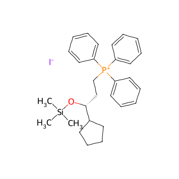 C[Si](C)(C)O[C@H](CC[P+](c1ccccc1)(c1ccccc1)c1ccccc1)C1CCCC1.[I-]